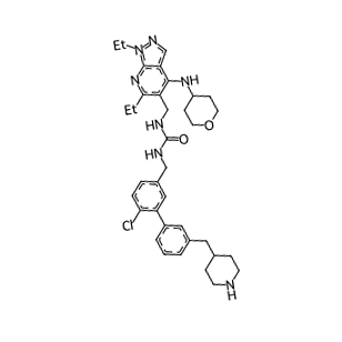 CCc1nc2c(cnn2CC)c(NC2CCOCC2)c1CNC(=O)NCc1ccc(Cl)c(-c2cccc(CC3CCNCC3)c2)c1